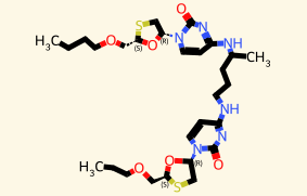 CCCCOC[C@H]1O[C@@H](n2ccc(NC(C)CCCNc3ccn([C@H]4CS[C@@H](COCCC)O4)c(=O)n3)nc2=O)CS1